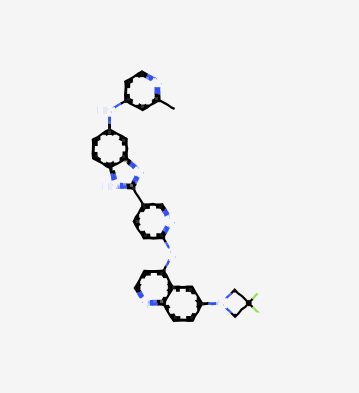 Cc1cc(Nc2ccc3[nH]c(-c4ccc(Nc5ccnc6ccc(N7CC(F)(F)C7)cc56)nc4)nc3c2)ccn1